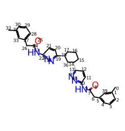 Cc1cccc(CC(=O)Nc2ccc([C@H]3CCC[C@H](c4ccc(NC(=O)Cc5cccc(C)c5)nn4)C3)nn2)c1